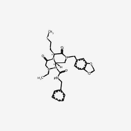 CCN1CC(=O)N2[C@@H](CCSC)C(=O)N(Cc3ccc4c(c3)OCO4)C[C@@H]2N1C(=O)NCc1ccccc1